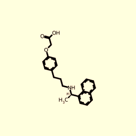 C[C@@H](NCCCc1ccc(OCC(=O)O)cc1)c1cccc2ccccc12